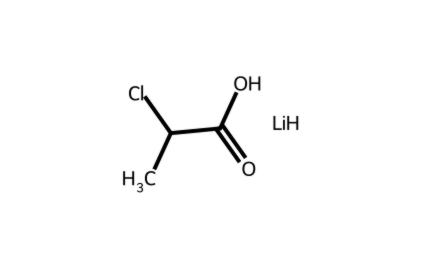 CC(Cl)C(=O)O.[LiH]